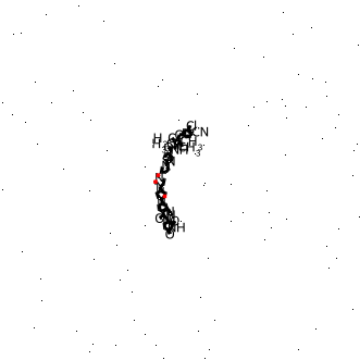 CC1(C)C(NC(=O)c2ccc(N3CC[C@H](CN4CCN(C5CCN(c6ccc7c(=O)n(C8CCC(=O)NC8=O)nnc7c6)CC5)CC4)C3)nc2)C(C)(C)C1Oc1ccc(C#N)c(Cl)c1